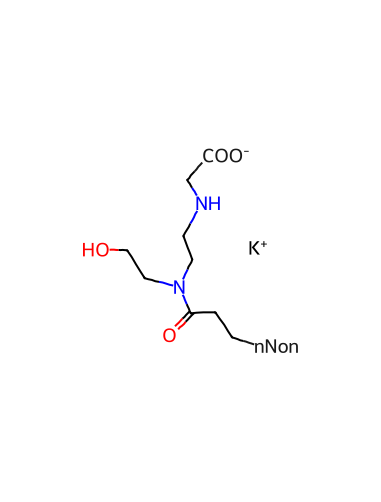 CCCCCCCCCCCC(=O)N(CCO)CCNCC(=O)[O-].[K+]